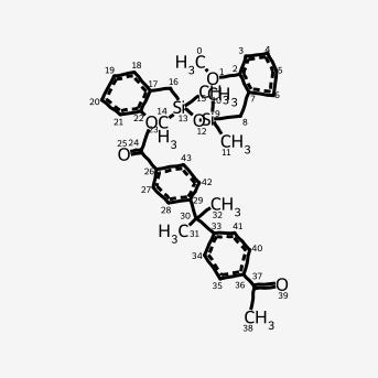 COc1ccccc1C[Si](C)(C)O[Si](C)(C)Cc1ccccc1OC(=O)c1ccc(C(C)(C)c2ccc(C(C)=O)cc2)cc1